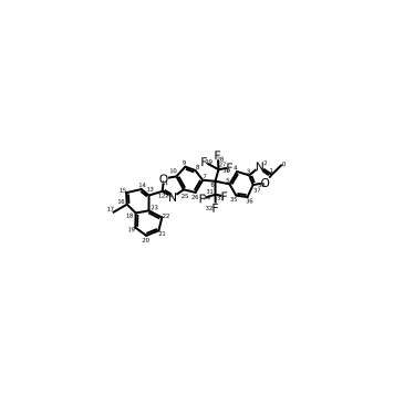 Cc1nc2cc(C(c3ccc4oc(-c5ccc(C)c6ccccc56)nc4c3)(C(F)(F)F)C(F)(F)F)ccc2o1